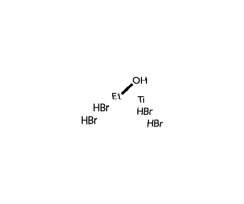 Br.Br.Br.Br.CCO.[Ti]